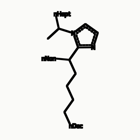 CCCCCCCCCCCCCCC(CCCCCCCCC)c1nccn1C(C)CCCCCCC